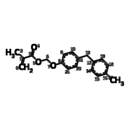 C=C(C)C(=O)OCOc1ccc(Cc2ccc(C)cc2)cc1